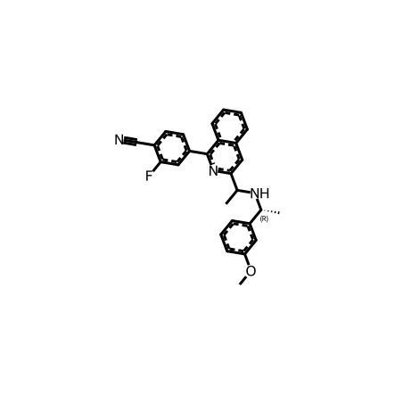 COc1cccc([C@@H](C)NC(C)c2cc3ccccc3c(-c3ccc(C#N)c(F)c3)n2)c1